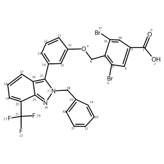 O=C(O)c1cc(Br)c(COc2cccc(-c3c4cccc(C(F)(F)F)c4nn3Cc3ccccc3)c2)c(Br)c1